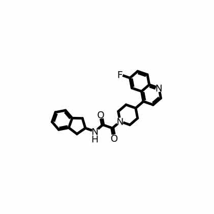 O=C(NC1Cc2ccccc2C1)C(=O)N1CCC(c2ccnc3ccc(F)cc23)CC1